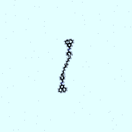 C(=C\c1cc2c3c(c1)CCCN3CCC2)/c1cc[n+](CCCCCCSSCCCC[n+]2ccc(/C=C/c3cc4c5c(c3)CCCN5CCC4)cc2)cc1